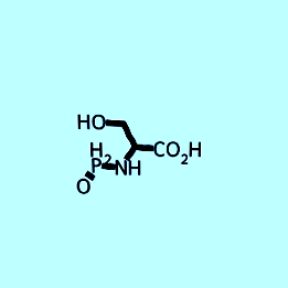 O=[PH2]NC(CO)C(=O)O